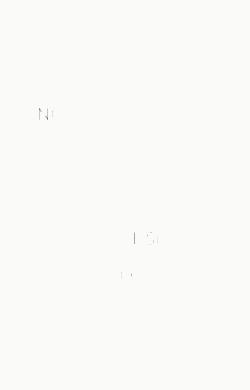 C[SiH]([O])CCCC#N